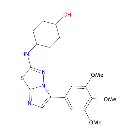 COc1cc(-c2cnc3sc(NC4CCC(O)CC4)nn23)cc(OC)c1OC